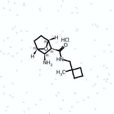 CC1(CNC(=O)[C@H]2[C@@H](N)[C@@H]3CC[C@H]2O3)CCC1.Cl